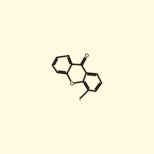 O=c1c2ccccc2oc2c(I)cccc12